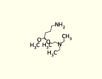 CCN(CC)CC.COC(=O)CCCN